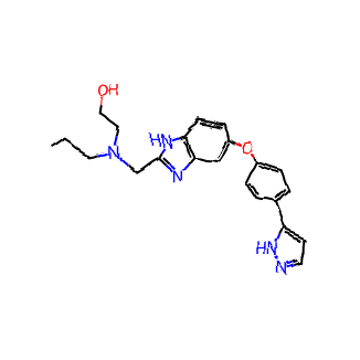 CCCN(CCO)Cc1nc2cc(Oc3ccc(-c4ccn[nH]4)cc3)ccc2[nH]1